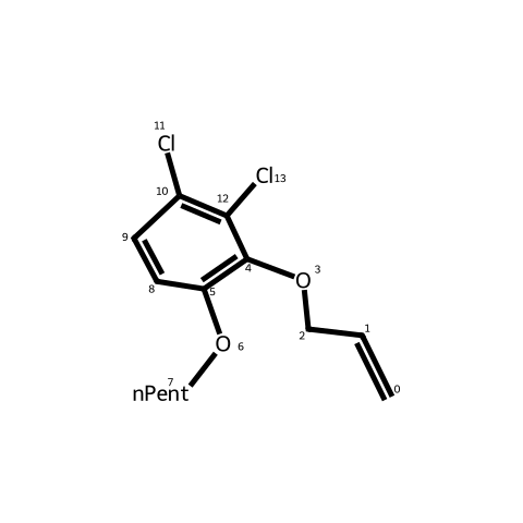 C=CCOc1c(OCCCCC)ccc(Cl)c1Cl